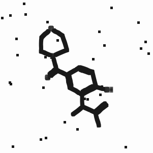 C=C(C)C(C)c1cc(C(=O)N2CCOCC2)ccc1O